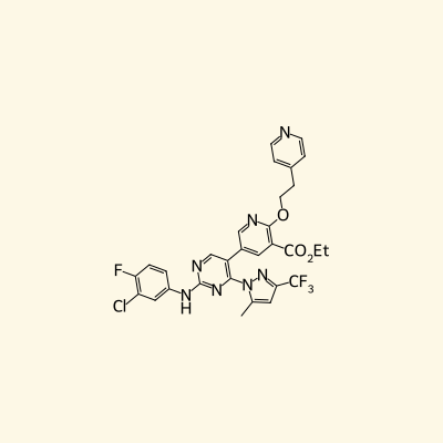 CCOC(=O)c1cc(-c2cnc(Nc3ccc(F)c(Cl)c3)nc2-n2nc(C(F)(F)F)cc2C)cnc1OCCc1ccncc1